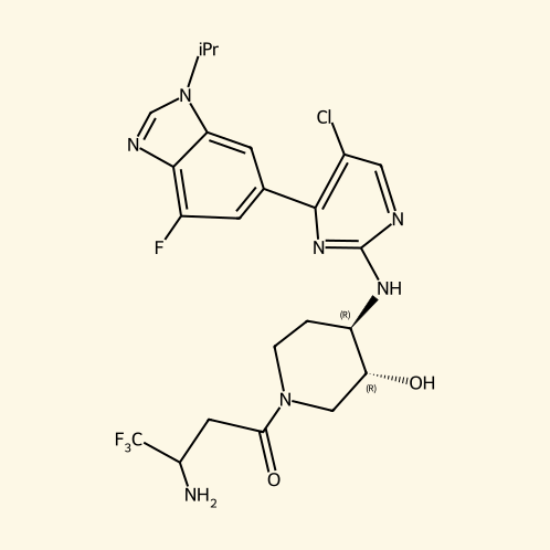 CC(C)n1cnc2c(F)cc(-c3nc(N[C@@H]4CCN(C(=O)CC(N)C(F)(F)F)C[C@H]4O)ncc3Cl)cc21